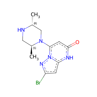 C[C@@H]1CN(c2cc(=O)[nH]c3cc(Br)nn23)[C@@H](C)CN1